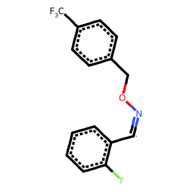 Fc1ccccc1/[C]=N\OCc1ccc(C(F)(F)F)cc1